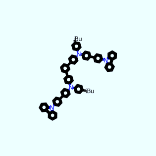 CCC(C)c1ccc(N(c2ccc(-c3ccc(-n4c5ccccc5c5ccccc54)cc3)cc2)c2ccc(-c3cccc(-c4ccc(N(c5ccc(-c6ccc(-n7c8ccccc8c8ccccc87)cc6)cc5)c5ccc(C(C)CC)cc5)cc4)c3)cc2)cc1